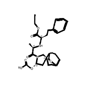 CCOC(=O)[C@@H](CCc1ccccc1)N[C@H](C)C(=O)N1C[C@@]2(CC3CCC2CC3)C[C@@H]1OC(=O)O